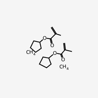 C.C.C=C(C)C(=O)OC1CCCC1.C=C(C)C(=O)OC1CCCC1